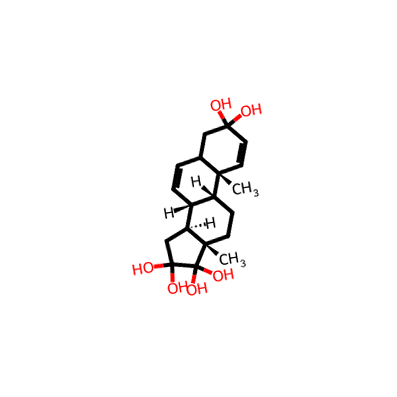 C[C@]12C=CC(O)(O)CC1C=C[C@@H]1[C@H]2CC[C@@]2(C)[C@H]1CC(O)(O)C2(O)O